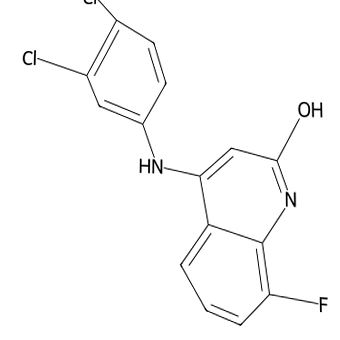 Oc1cc(Nc2ccc(Cl)c(Cl)c2)c2cccc(F)c2n1